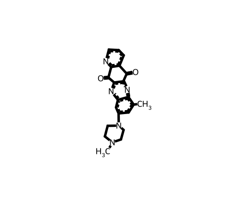 Cc1cc(N2CCN(C)CC2)cc2nc3c(nc12)C(=O)c1cccnc1C3=O